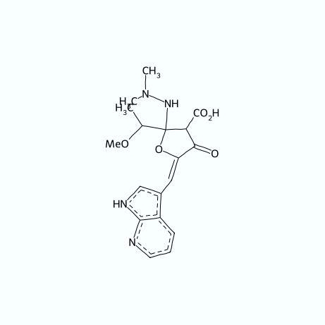 COC(C)C1(NN(C)C)O/C(=C\c2c[nH]c3ncccc23)C(=O)C1C(=O)O